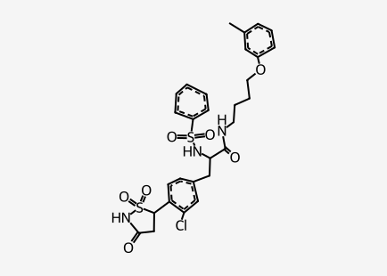 Cc1cccc(OCCCCNC(=O)C(Cc2ccc(C3CC(=O)NS3(=O)=O)c(Cl)c2)NS(=O)(=O)c2ccccc2)c1